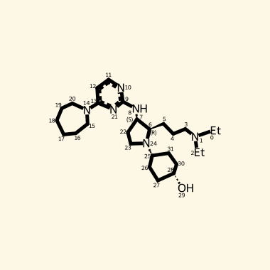 CCN(CC)CCC[C@@H]1[C@@H](Nc2nccc(N3CCCCCC3)n2)CCN1[C@H]1CC[C@@H](O)CC1